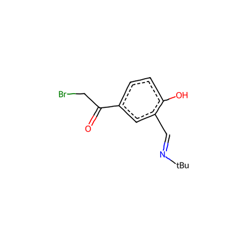 CC(C)(C)N=Cc1cc(C(=O)CBr)ccc1O